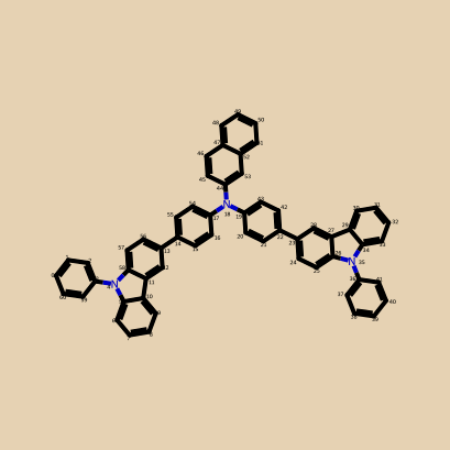 c1ccc(-n2c3ccccc3c3cc(-c4ccc(N(c5ccc(-c6ccc7c(c6)c6ccccc6n7-c6ccccc6)cc5)c5ccc6ccccc6c5)cc4)ccc32)cc1